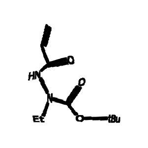 C=CC(=O)NN(CC)C(=O)OC(C)(C)C